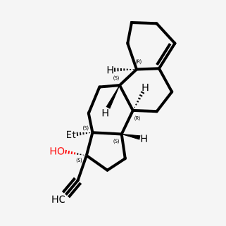 C#C[C@]1(O)CC[C@H]2[C@@H]3CCC4=CCCC[C@@H]4[C@H]3CC[C@@]21CC